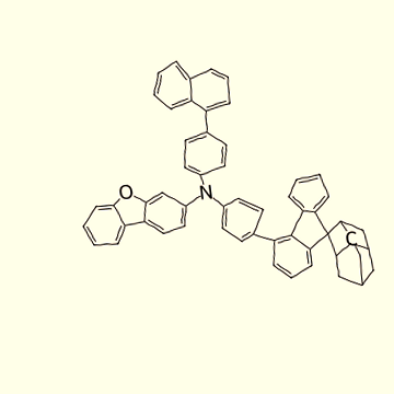 c1ccc2c(c1)-c1c(-c3ccc(N(c4ccc(-c5cccc6ccccc56)cc4)c4ccc5c(c4)oc4ccccc45)cc3)cccc1C21C2CCC3CC(C2)CC1C3